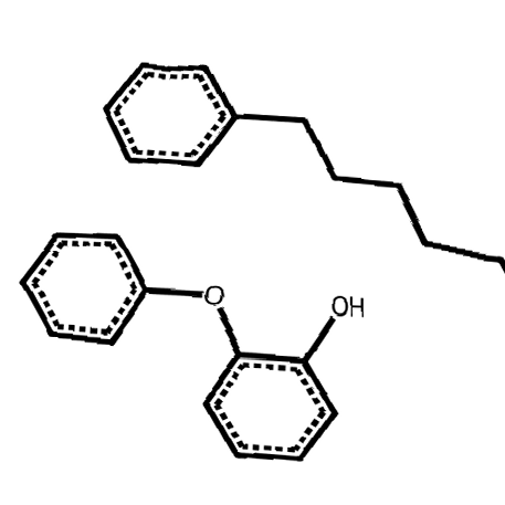 CCCCCCc1ccccc1.Oc1ccccc1Oc1ccccc1